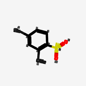 COc1cc(C(C)(C)C)ccc1[SH](=O)=O